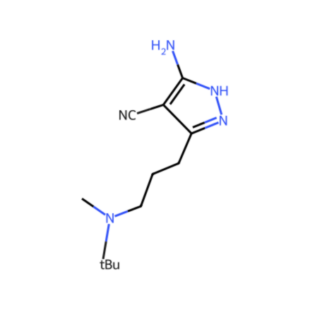 CN(CCCc1n[nH]c(N)c1C#N)C(C)(C)C